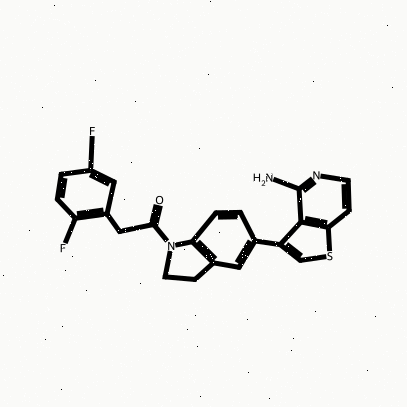 Nc1nccc2scc(-c3ccc4c(c3)CCN4C(=O)Cc3cc(F)ccc3F)c12